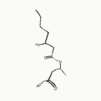 CCCCC(O)CC(=O)OC(C)CC(=O)O